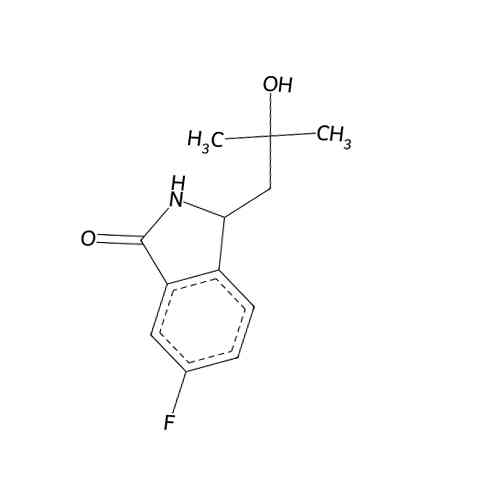 CC(C)(O)CC1NC(=O)c2cc(F)ccc21